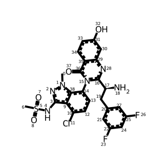 Cn1nc(NS(C)(=O)=O)c2c(Cl)ccc(-n3c([C@@H](N)Cc4cc(F)cc(F)c4)nc4cc(O)ccc4c3=O)c21